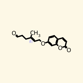 C/C(=C\COc1ccc2ccc(=O)oc2c1)CCC=O